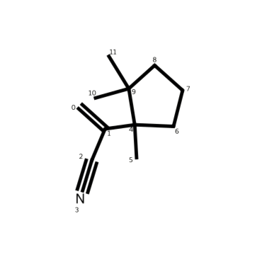 C=C(C#N)C1(C)CCCC1(C)C